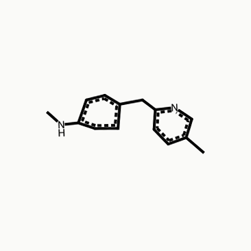 CNc1ccc(Cc2ccc(C)cn2)cc1